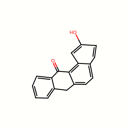 O=C1c2ccccc2Cc2ccc3ccc(O)cc3c21